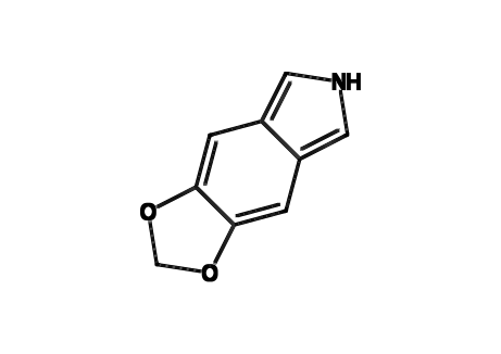 c1[nH]cc2cc3c(cc12)OCO3